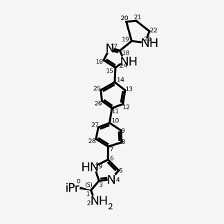 CC(C)[C@H](N)c1ncc(-c2ccc(-c3ccc(-c4cnc(C5CCCN5)[nH]4)cc3)cc2)[nH]1